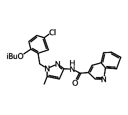 Cc1cc(NC(=O)c2cnc3ccccc3c2)nn1Cc1cc(Cl)ccc1OCC(C)C